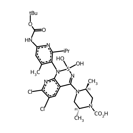 Cc1cc(NC(=O)OC(C)(C)C)nc(C(C)C)c1N1c2nc(Cl)c(Cl)cc2C(N2C[C@@H](C)N(C(=O)O)C[C@@H]2C)=NS1(O)O